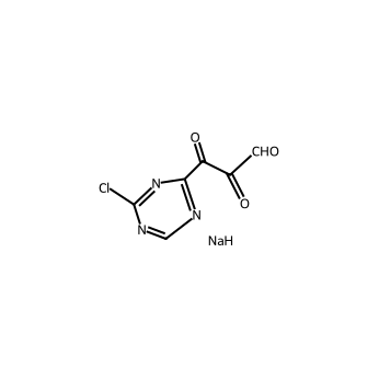 O=CC(=O)C(=O)c1ncnc(Cl)n1.[NaH]